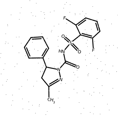 CC1=NN(C(=O)NS(=O)(=O)c2c(F)cccc2F)C(c2ccccc2)C1